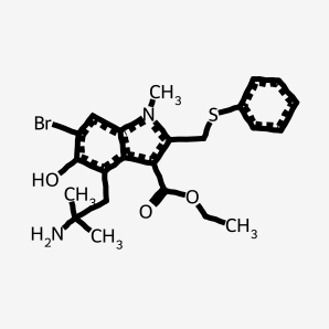 CCOC(=O)c1c(CSc2ccccc2)n(C)c2cc(Br)c(O)c(CC(C)(C)N)c12